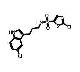 O=S(=O)(NCCCc1c[nH]c2ccc(Cl)cc12)c1cnc(Cl)s1